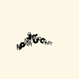 C=CCn1c(=O)c2cnc(Nc3ccc4c(cnn4C)c3)nc2n1-c1cccc(OC2CCN(CCC)CC2)n1